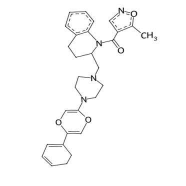 Cc1oncc1C(=O)N1c2ccccc2CCC1CN1CCN(C2=COC(C3=CC=CCC3)=CO2)CC1